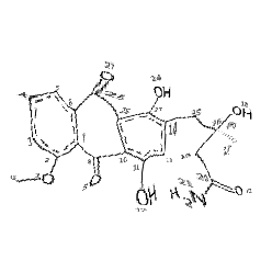 COc1cccc2c1C(=O)c1c(O)cc(C[C@@](C)(O)CC(N)=O)c(O)c1C2=O